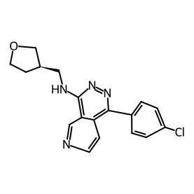 Clc1ccc(-c2nnc(NC[C@H]3CCOC3)c3cnccc23)cc1